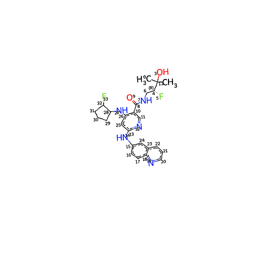 CC(C)(O)[C@H](F)CNC(=O)c1cnc(Nc2ccc3ncccc3c2)cc1NC1CCCC1F